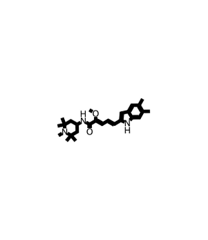 CO/C(=C\C=C\c1cc2cc(C)c(C)cc2[nH]1)C(=O)NC1CC(C)(C)N(C)C(C)(C)C1